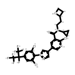 O=C(c1cc(-c2cnn(-c3c(Cl)cc(C(F)(C(F)(F)F)C(F)(F)F)cc3Cl)c2)cnc1Cl)N(CCC1CCO1)C1CC1